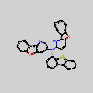 C1=CC(N(c2cnc3c(c2)oc2ccccc23)c2cccc3c2sc2ccccc23)Nc2c1oc1ccccc21